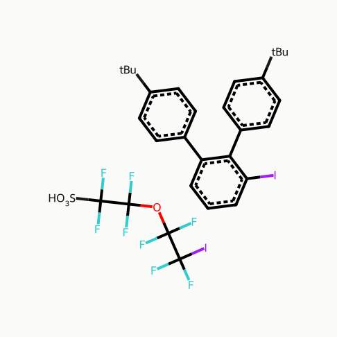 CC(C)(C)c1ccc(-c2cccc(I)c2-c2ccc(C(C)(C)C)cc2)cc1.O=S(=O)(O)C(F)(F)C(F)(F)OC(F)(F)C(F)(F)I